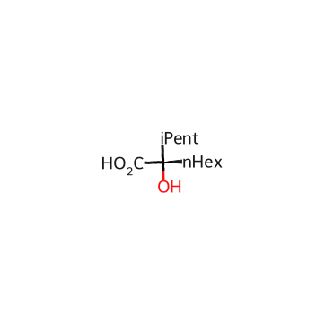 CCCCCC[C@@](O)(C(=O)O)C(C)CCC